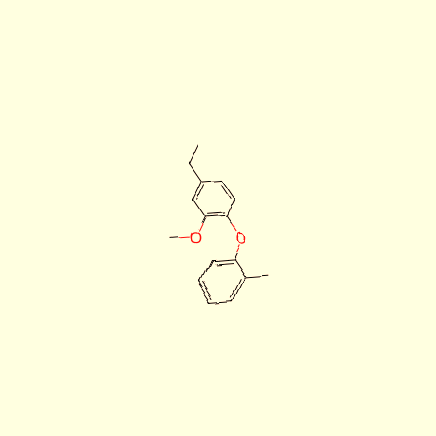 CCc1ccc(Oc2ccccc2C)c(OC)c1